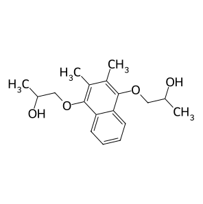 Cc1c(C)c(OCC(C)O)c2ccccc2c1OCC(C)O